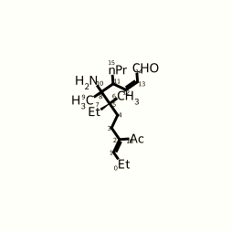 CC/C=C(/CC[C@](C)(CC)C(C)(N)C(/C=C\C=O)CCC)C(C)=O